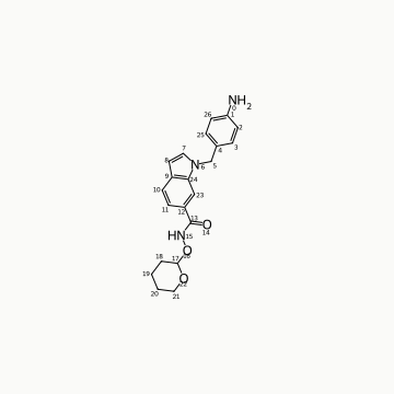 Nc1ccc(Cn2ccc3ccc(C(=O)NOC4CCCCO4)cc32)cc1